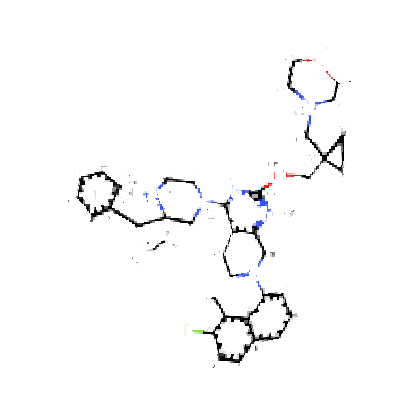 Cc1c(F)ccc2cccc(N3CCc4c(nc(OCC5(CN6CCOCC6)CC5)nc4N4CCN(C(=O)O)[C@](CC#N)(Cc5ccccc5)C4)C3)c12